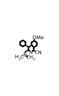 COc1ccc2c(C#N)nc(CN(C)C)c(-c3ccccc3)c2c1